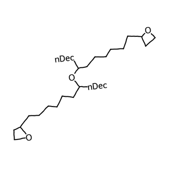 CCCCCCCCCCC(CCCCCCC1CCO1)OC(CCCCCCCCCC)CCCCCCC1CCO1